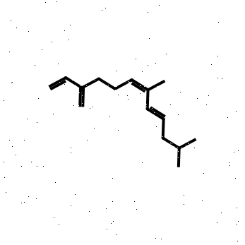 C=CC(=C)CCC=C(C)C=CCC(C)C